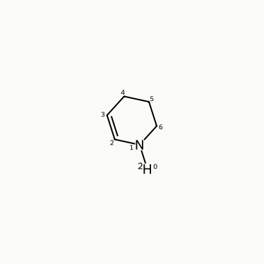 [2H]N1C=CCCC1